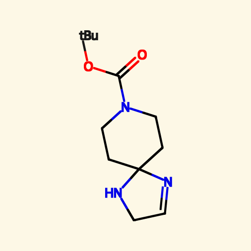 CC(C)(C)OC(=O)N1CCC2(CC1)N=CCN2